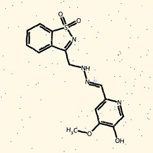 COc1cc(/C=N/NCC2=NS(=O)(=O)c3ccccc32)ncc1O